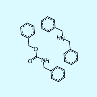 O=C(NCc1ccccc1)OCc1ccccc1.c1ccc(CNCc2ccccc2)cc1